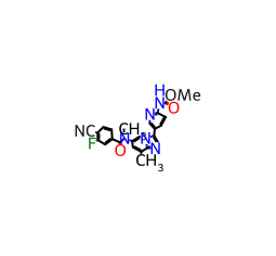 COC(=O)Nc1ccc(-c2cnc3c(C)cc(N(C)C(=O)c4ccc(C#N)c(F)c4)cn23)cn1